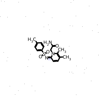 Cc1ccc(S(=O)(=O)/N=c2/ccc(C)c(C)n2CC(N)=O)cc1